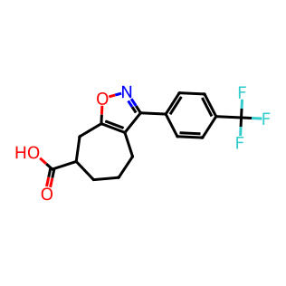 O=C(O)C1CCCc2c(-c3ccc(C(F)(F)F)cc3)noc2C1